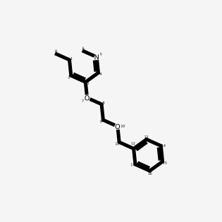 CC/C=C(\C=N/C)OCCOCc1ccccc1